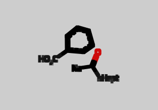 CCCCCCC[C](=O)[Na].O=C(O)c1ccccc1